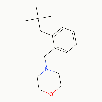 CC(C)(C)Cc1ccccc1CN1CCOCC1